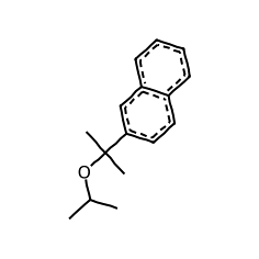 CC(C)OC(C)(C)c1ccc2ccccc2c1